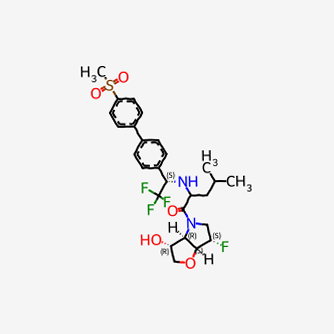 CC(C)CC(N[C@@H](c1ccc(-c2ccc(S(C)(=O)=O)cc2)cc1)C(F)(F)F)C(=O)N1C[C@H](F)[C@H]2OC[C@H](O)[C@H]21